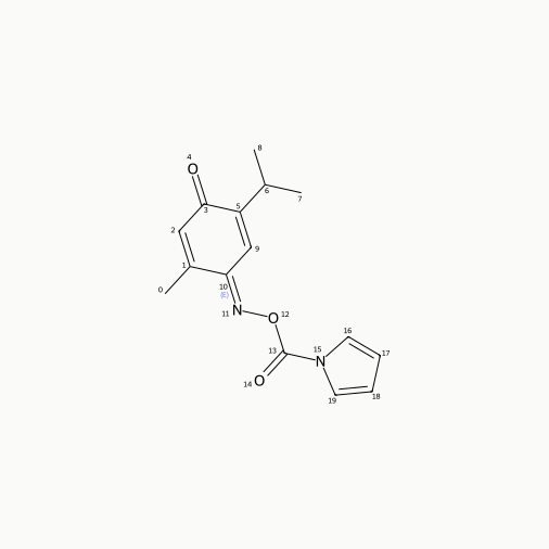 CC1=CC(=O)C(C(C)C)=C/C1=N\OC(=O)n1cccc1